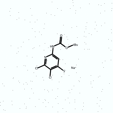 CC(C)(C)OC(=O)Nc1cc([S-])c(Cl)c(Cl)n1.[Na+]